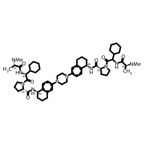 CN[C@@H](C)C(=O)NC(C(=O)N1CCC[C@H]1C(=O)N[C@@H]1CCCc2cc(N3CCN(c4ccc5c(c4)CCC[C@H]5NC(=O)[C@@H]4CCCN4C(=O)[C@@H](NC(=O)[C@H](C)NC)C4CCCCC4)CC3)ccc21)C1CCCCC1